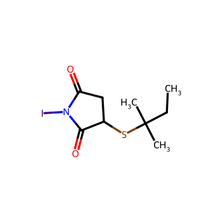 CCC(C)(C)SC1CC(=O)N(I)C1=O